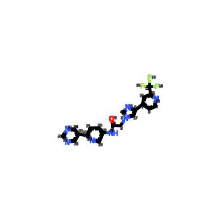 O=C(Cn1cnc(-c2ccnc(C(F)(F)F)c2)c1)Nc1ccc(-c2cncnc2)nc1